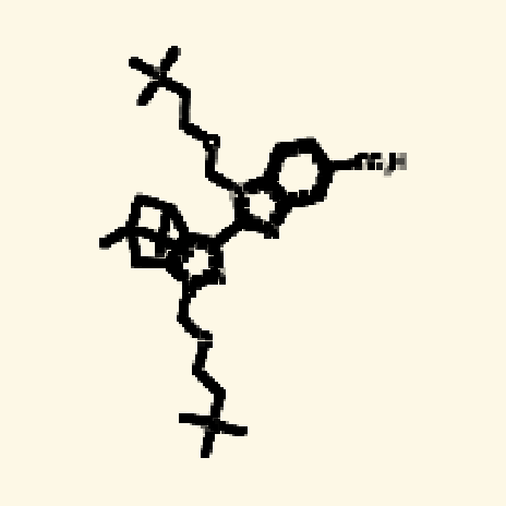 CC12Cc3c(c(-c4nc5cc(C(=O)O)ccc5n4COCC[Si](C)(C)C)nn3COCC[Si](C)(C)C)C(C1)C2(F)F